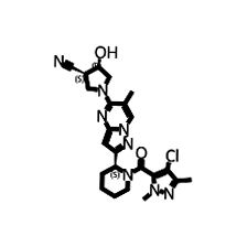 Cc1cn2nc([C@@H]3CCCCN3C(=O)c3c(Cl)c(C)nn3C)cc2nc1N1C[C@@H](C#N)[C@@H](O)C1